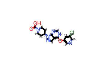 O=C(O)N1CCC(n2ncc3c(Oc4cncc(Cl)c4)ncnc32)CC1